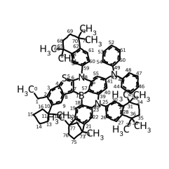 CCc1cc2sc3c(c2cc1C1(C)CCCC1)B1c2cc4c(cc2N(c2ccc5c(c2)C(C)(C)CCC5(C)C)c2cc(N(c5ccccc5)c5ccccc5)cc(c21)N3c1ccc2c(c1)C(C)(C)CCC2(C)C)C1(C)CCC4(C)C1